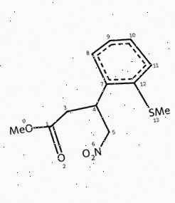 COC(=O)CC(C[N+](=O)[O-])c1ccccc1SC